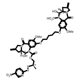 C=C1C[C@H]2[C@H](O)N(C(=O)O)c3cc(OCCCCCOc4cc5c(cc4OC)C(=O)N4CC(=C)C[C@H]4[C@H](O)N5C(=O)OC[C@@H](C)SSc4ccc([N+](=O)[O-])cn4)c(OC)cc3C(=O)N2C1